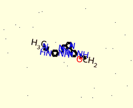 C=CC(=O)Nc1ccnc(-c2nccc3cnc(Nc4ccc(NC5CN(C)C5)cc4)nc23)c1